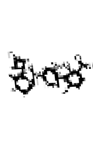 COc1c(C(N)=O)ccc(F)c1-c1ccc(NC[C@]2(c3ncccc3F)C[C@H](F)C2)nn1